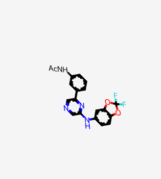 CC(=O)Nc1cccc(-c2cncc(Nc3ccc4c(c3)OC(F)(F)O4)n2)c1